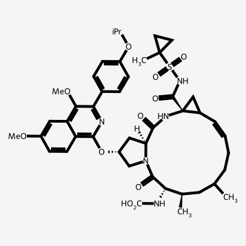 COc1ccc2c(O[C@@H]3C[C@H]4C(=O)N[C@]5(C(=O)NS(=O)(=O)C6(C)CC6)CC5/C=C\CCC(C)C[C@@H](C)[C@H](NC(=O)O)C(=O)N4C3)nc(-c3ccc(OC(C)C)cc3)c(OC)c2c1